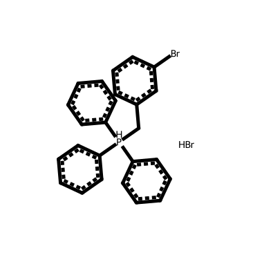 Br.Brc1cccc(C[PH](c2ccccc2)(c2ccccc2)c2ccccc2)c1